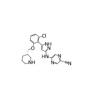 N#Cc1cnc(Nc2cc(-c3c(Cl)cccc3OC[C@H]3CCCNC3)[nH]n2)cn1